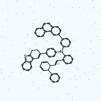 C1=CC(/C=C/c2ccccc2N(c2ccc(C3=Cc4c(sc5ccccc45)CC3)cc2)c2cccc(-c3ccc4ccc5ccccc5c4c3)c2)C(c2ccccc2)C=C1